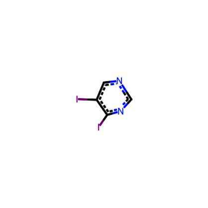 Ic1cncnc1I